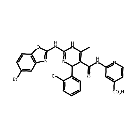 CCc1ccc2oc(NC3=NC(c4ccccc4Cl)C(C(=O)Nc4cc(C(=O)O)ccn4)=C(C)N3)nc2c1